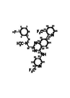 CN(Cc1cccc(F)c1)Cc1nc(Nc2ccc(C(F)(F)F)nc2)c2ccc(-c3ncccc3C(F)(F)F)cc2n1